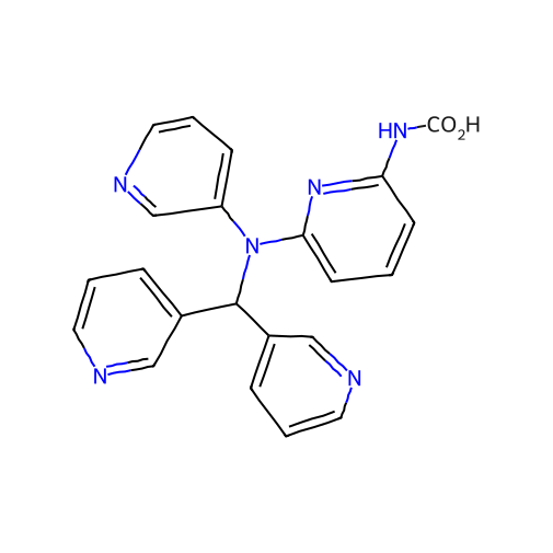 O=C(O)Nc1cccc(N(c2cccnc2)C(c2cccnc2)c2cccnc2)n1